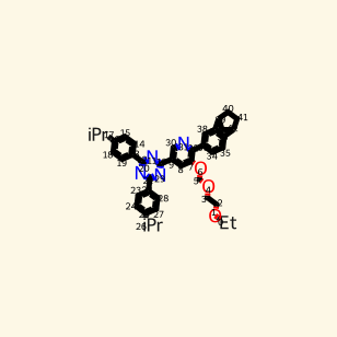 CCOCCOCOc1cc(-c2nc(-c3ccc(C(C)C)cc3)nc(-c3ccc(C(C)C)cc3)n2)cnc1-c1ccc2c(c1)C1CCC2C1